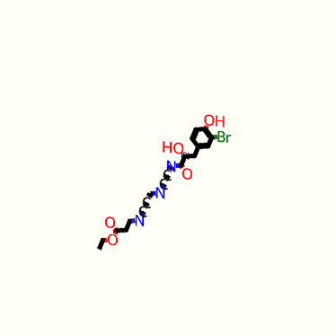 CCOC(=O)CCN=C=C=CN=C=C=NC(=O)[C@H](O)Cc1ccc(O)c(Br)c1